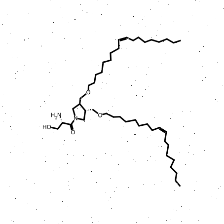 CCCCCCCC/C=C\CCCCCCCCOCC1CN(C(=O)[C@@H](N)CO)C[C@H]1COCCCCCCCC/C=C\CCCCCCCC